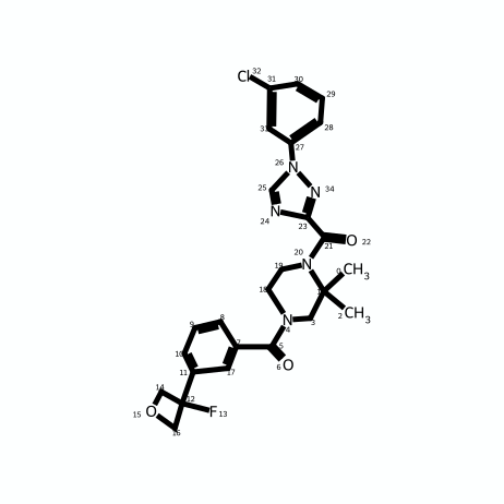 CC1(C)CN(C(=O)c2cccc(C3(F)COC3)c2)CCN1C(=O)c1ncn(-c2cccc(Cl)c2)n1